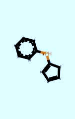 C1=CCC(Pc2ccccc2)=C1